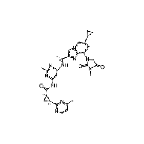 Cc1ccnc([C@H]2C[C@@H]2C(=O)Nc2cc(N[C@H](C)c3cn4cc(C5CC5)cc(N5CC(=O)N(C)C5=O)c4n3)nc(C)n2)n1